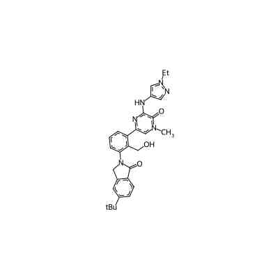 CCn1cc(Nc2nc(-c3cccc(N4Cc5cc(C(C)(C)C)ccc5C4=O)c3CO)cn(C)c2=O)cn1